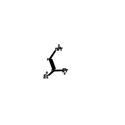 [CH2]CC(=CCCC)C(C)C